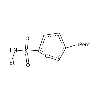 CCCCCc1ccc(S(=O)(=O)NCC)cc1